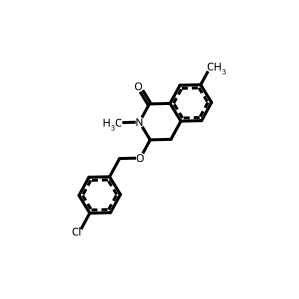 Cc1ccc2c(c1)C(=O)N(C)C(OCc1ccc(Cl)cc1)C2